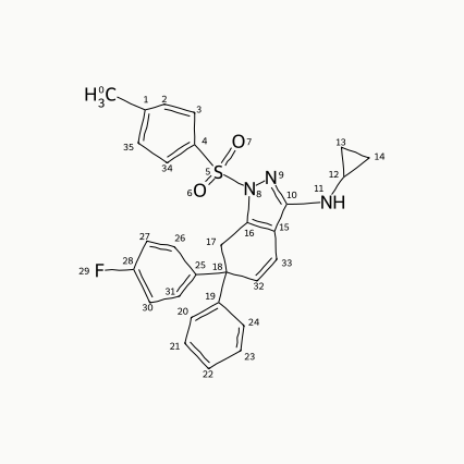 Cc1ccc(S(=O)(=O)n2nc(NC3CC3)c3c2CC(c2ccccc2)(c2ccc(F)cc2)C=C3)cc1